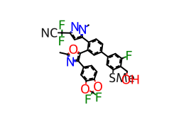 CSc1cc(-c2ccc(-c3cc(C(F)(F)C#N)nn3C)c(-c3oc(C)nc3-c3ccc4c(c3)OC(F)(F)O4)c2)cc(F)c1CO